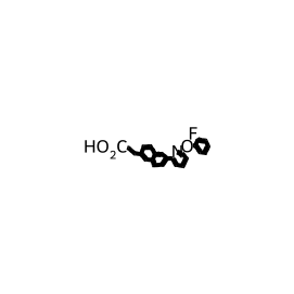 O=C(O)CCc1ccc2cc(-c3cccc(Oc4ccccc4F)n3)ccc2c1